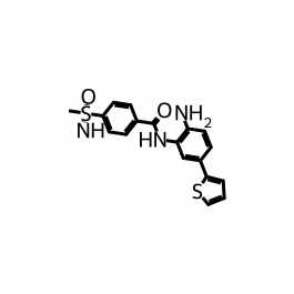 CS(=N)(=O)c1ccc(C(=O)Nc2cc(-c3cccs3)ccc2N)cc1